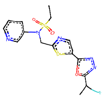 CCS(=O)(=O)N(Cc1ncc(-c2nnc(C(C)F)o2)s1)c1cccnc1